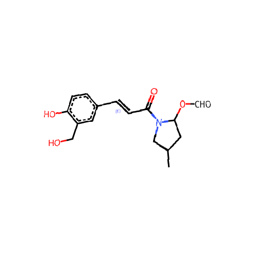 CC1CC(OC=O)N(C(=O)/C=C/c2ccc(O)c(CO)c2)C1